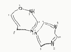 C1=CONC=N1.c1ncncn1